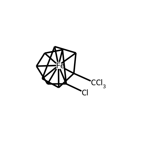 ClC(Cl)(Cl)[C]12[CH]3[CH]4[CH]5[CH]1[Fe]45321678[CH]2[CH]1[CH]6[C]7(Cl)[CH]28